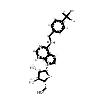 OC[C@H]1O[C@@H](n2cnc3c(NCc4ccc(C(F)(F)F)cc4)ncnc32)[C@@H](O)[C@@H]1O